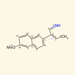 C/C=C(\C=N)c1ccc2cc(OC)ccc2c1